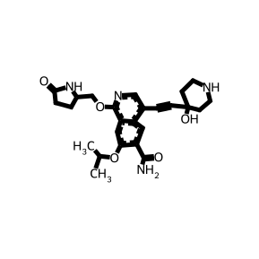 CC(C)Oc1cc2c(OCC3CCC(=O)N3)ncc(C#CC3(O)CCNCC3)c2cc1C(N)=O